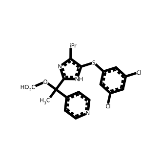 CC(C)c1nc(C(C)(OC(=O)O)c2ccncc2)[nH]c1Sc1cc(Cl)cc(Cl)c1